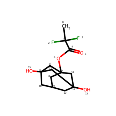 CC(F)(F)C(=O)OC12CC3CC(O)(CC(O)(C3)C1)C2